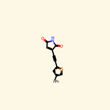 CCCc1csc(C#CC2=CC(=O)NC2=O)c1